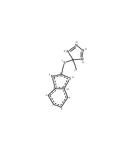 CC1(Sc2nc3ccccc3s2)N=NN=N1